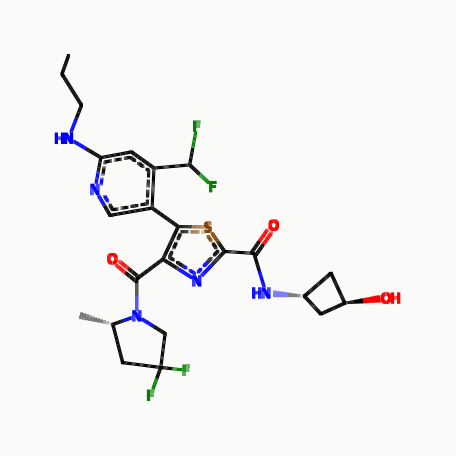 CCCNc1cc(C(F)F)c(-c2sc(C(=O)N[C@H]3C[C@H](O)C3)nc2C(=O)N2CC(F)(F)C[C@@H]2C)cn1